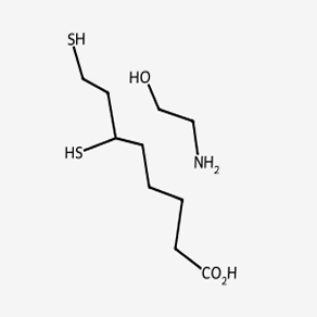 NCCO.O=C(O)CCCCC(S)CCS